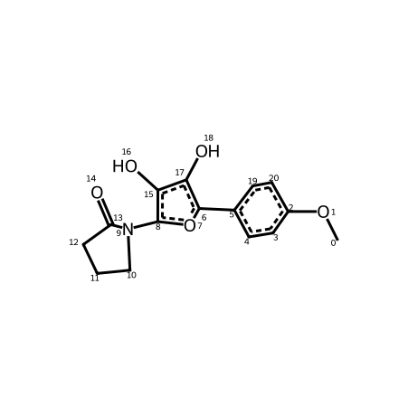 COc1ccc(-c2oc(N3CCCC3=O)c(O)c2O)cc1